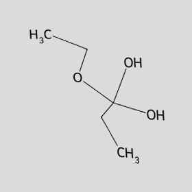 CCOC(O)(O)CC